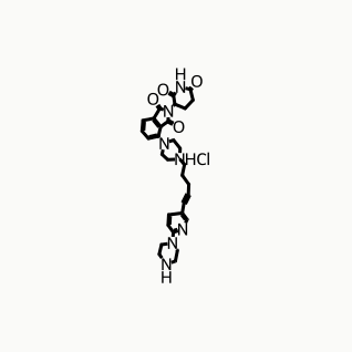 Cl.O=C1CCC(N2C(=O)c3cccc(N4CCN(CCCC#Cc5ccc(N6CCNCC6)nc5)CC4)c3C2=O)C(=O)N1